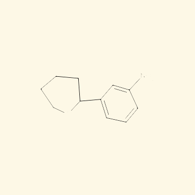 O=[N+]([O-])c1[c]ccc(C2CCCCO2)c1